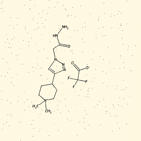 C[N+]1(C)CCC(c2cn(CC(=O)NN)nn2)CC1.O=C([O-])C(F)(F)F